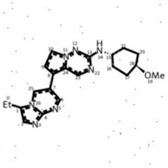 CCc1cnc2ncc(-c3ccn4nc(N[C@H]5CC[C@H](OC)CC5)ncc34)cn12